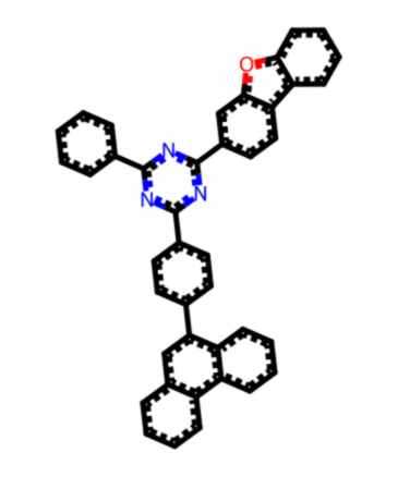 c1ccc(-c2nc(-c3ccc(-c4cc5ccccc5c5ccccc45)cc3)nc(-c3ccc4c(c3)oc3ccccc34)n2)cc1